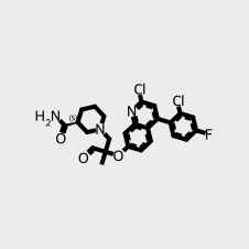 CC(C=O)(CN1CCC[C@H](C(N)=O)C1)Oc1ccc2c(-c3ccc(F)cc3Cl)cc(Cl)nc2c1